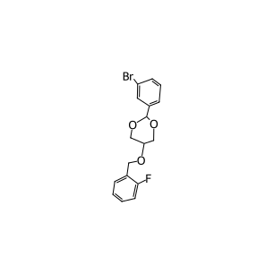 Fc1ccccc1COC1COC(c2cccc(Br)c2)OC1